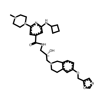 CN1CCN(c2cc(C(=O)NC[C@H](O)CN3CCc4cc(OCc5cnco5)ccc4C3)cc(NC3CCC3)n2)CC1